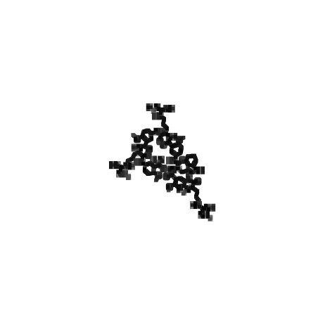 COc1ccc(NC(=O)[C@@H](CCCNC(=N)N)NC(=O)c2cc(NC(=O)[C@@H](CCCNC(=N)N)NC(=O)c3cc(NC(=O)[C@@H](Cc4c[nH]c5ccccc45)NC(=O)c4cc(NC(=O)[C@H](N)CCCNC(=N)N)ccc4OC)ccc3OC)ccc2OC)cc1C(N)=O